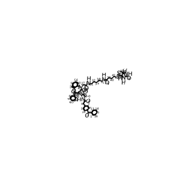 C[C@H](NC(=O)Cc1ccc(C(=O)c2ccccc2)cc1)C(=O)N[C@@H]1C(=O)N(CC(=O)NCCCCCNC(=O)CCCC[C@@H]2SC[C@@H]3NC(=O)N[C@@H]32)c2ccccc2O[C@@H]1c1ccccc1